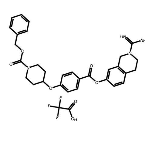 N=C(N)N1CCc2ccc(OC(=O)c3ccc(OC4CCN(C(=O)OCc5ccccc5)CC4)cc3)cc2C1.O=C(O)C(F)(F)F